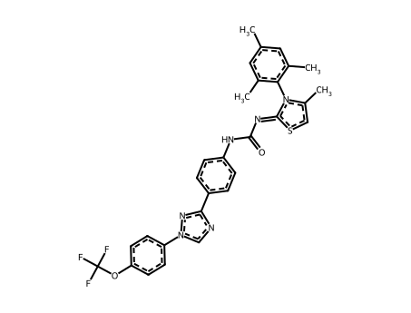 Cc1cc(C)c(-n2c(C)csc2=NC(=O)Nc2ccc(-c3ncn(-c4ccc(OC(F)(F)F)cc4)n3)cc2)c(C)c1